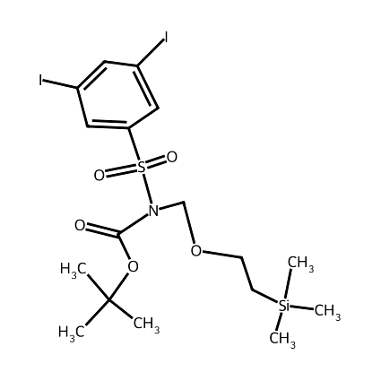 CC(C)(C)OC(=O)N(COCC[Si](C)(C)C)S(=O)(=O)c1cc(I)cc(I)c1